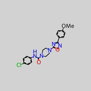 COc1ccc(-c2noc(N3CCN(C(=O)Nc4ccc(Cl)cc4)CC3)n2)cc1